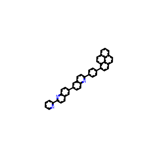 c1ccc(-c2ccc3cc(-c4ccc5nc(-c6ccc(-c7ccc8ccc9cccc%10ccc7c8c9%10)cc6)ccc5c4)ccc3n2)nc1